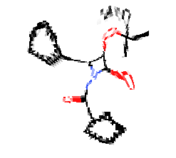 COC(C)(C)O[C@H]1C(=O)N(C(=O)c2ccccc2)[C@H]1c1ccccc1